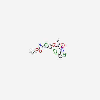 COC(=O)c1cncc(/C=C/c2ccc(OCC3C(c4c(Cl)cccc4Cl)=NOC3C3CC3)cc2Cl)c1